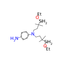 CCO[SiH2]C(C)(C)CCN(CCC(C)(C)[SiH2]OCC)c1ccc(N)cc1